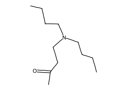 CCCCN(CCCC)CCC(C)=O